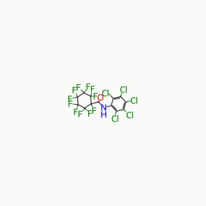 O=C(Nc1c(Cl)c(Cl)c(Cl)c(Cl)c1Cl)C1(F)C(F)(F)C(F)(F)C(F)(F)C(F)(F)C1(F)F